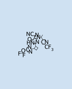 CC(c1ccc(C(F)(F)F)nc1)n1nc(C#N)c2c(=O)[nH]c(C3CCC3c3ncc(OC(F)F)cn3)nc21